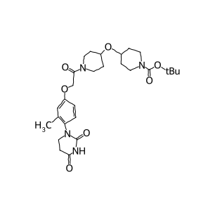 Cc1cc(OCC(=O)N2CCC(OC3CCN(C(=O)OC(C)(C)C)CC3)CC2)ccc1N1CCC(=O)NC1=O